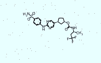 C[C@@H](CC(F)(F)F)NC(=O)O[C@@H]1CC[C@H](c2cnc(Nc3ccc(S(N)(=O)=O)cc3)nc2)C1